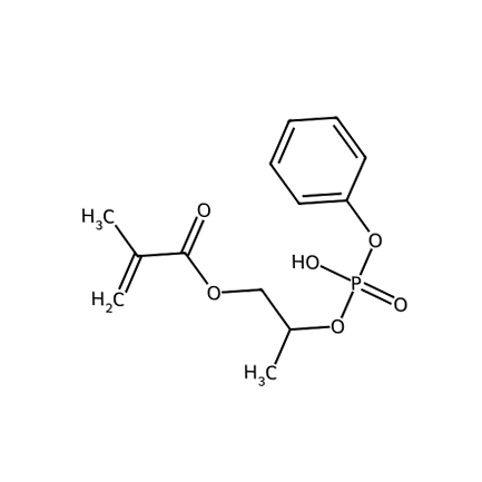 C=C(C)C(=O)OCC(C)OP(=O)(O)Oc1ccccc1